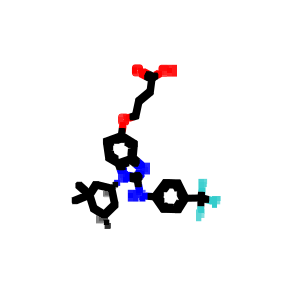 C[C@H]1C[C@@H](n2c(Nc3ccc(C(F)(F)F)cc3)nc3cc(OCCCC(=O)O)ccc32)CC(C)(C)C1